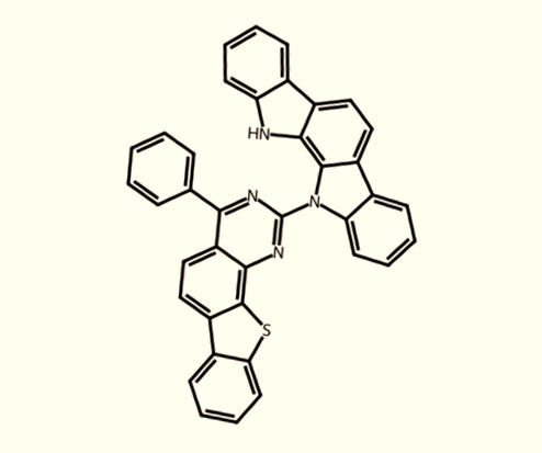 c1ccc(-c2nc(-n3c4ccccc4c4ccc5c6ccccc6[nH]c5c43)nc3c2ccc2c4ccccc4sc23)cc1